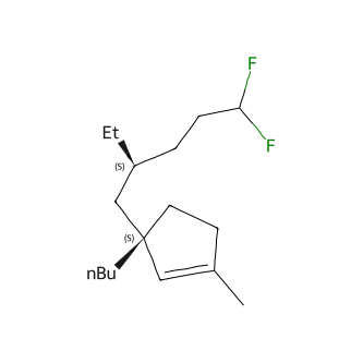 CCCC[C@]1(C[C@@H](CC)CCC(F)F)C=C(C)CC1